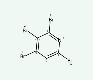 Brc1cc(Br)c(Br)c(Br)n1